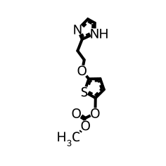 COC(=O)Oc1ccc(OCCc2ncc[nH]2)s1